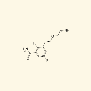 N=[C]COCCc1cc(F)cc(C(N)=O)c1F